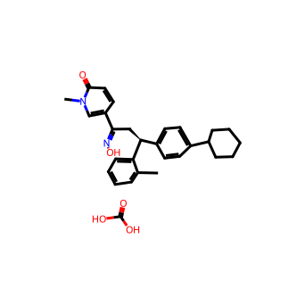 Cc1ccccc1[C@@H](C/C(=N\O)c1ccc(=O)n(C)c1)c1ccc(C2CCCCC2)cc1.O=C(O)O